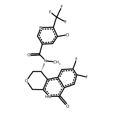 CN(C(=O)c1cnc(C(F)(F)F)c(Cl)c1)[C@H]1COCc2[nH]c(=O)c3cc(F)c(F)cc3c21